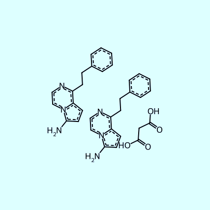 Nc1ccc2c(CCc3ccccc3)nccn12.Nc1ccc2c(CCc3ccccc3)nccn12.O=C(O)CC(=O)O